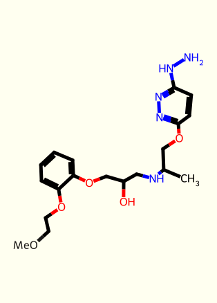 COCCOc1ccccc1OCC(O)CNC(C)COc1ccc(NN)nn1